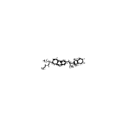 CN(CCC#N)c1ccc2c(c1)sc1cc(/C=C(\C#N)c3nc4ccccc4s3)sc12